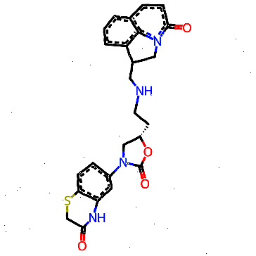 O=C1CSc2ccc(N3C[C@H](CCNCC4Cn5c(=O)ccc6cccc4c65)OC3=O)cc2N1